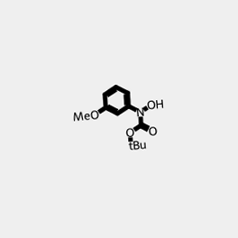 COc1cccc(N(O)C(=O)OC(C)(C)C)c1